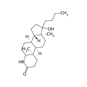 CCCCC1(O)CC[C@H]2[C@@H]3CCC4NC(=O)CC[C@]4(C)[C@@H]3CC[C@@]21C